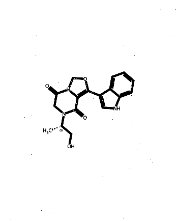 C[C@@H](CO)N1CC(=O)N2COC(c3c[nH]c4ccccc34)=C2C1=O